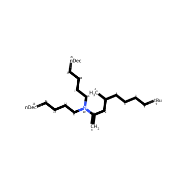 C=C(CC(C)CCCCC(C)(C)C)N(CCCCCCCCCCCCCC)CCCCCCCCCCCCCC